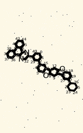 c1cc(-c2ccc3oc4cc5c(cc4c3c2)oc2ccc(C3CCCCC3)cc25)cc(-c2cnc3c4ccccc4c4ccccc4c3n2)c1